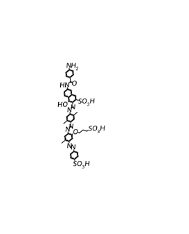 Cc1cc(N=Nc2cc(C)c(N=Nc3c(S(=O)(=O)O)cc4cc(NC(=O)c5ccc(N)cc5)ccc4c3O)cc2C)c(OCCCS(=O)(=O)O)cc1N=Nc1ccc(S(=O)(=O)O)cc1